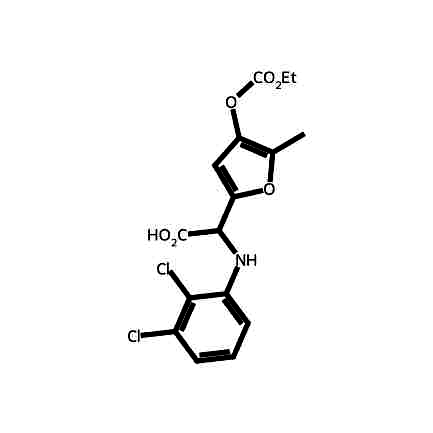 CCOC(=O)Oc1cc(C(Nc2cccc(Cl)c2Cl)C(=O)O)oc1C